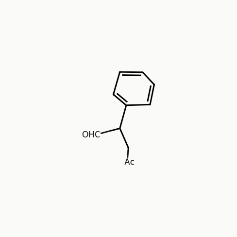 CC(=O)CC(C=O)c1ccccc1